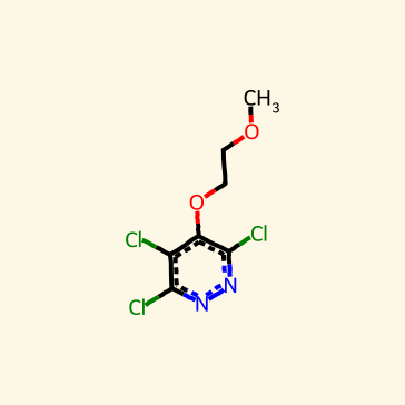 COCCOc1c(Cl)nnc(Cl)c1Cl